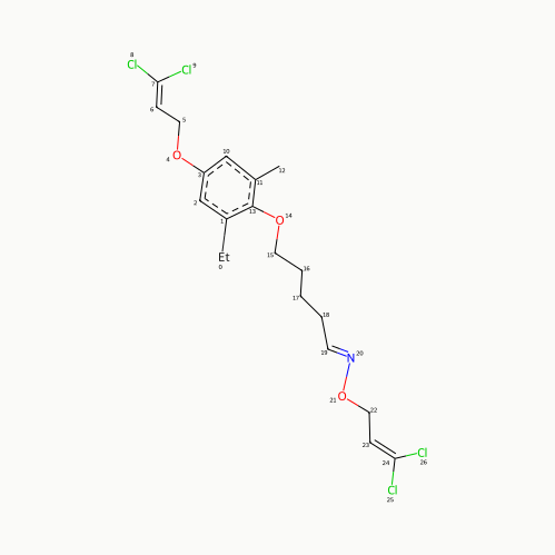 CCc1cc(OCC=C(Cl)Cl)cc(C)c1OCCCC/C=N/OCC=C(Cl)Cl